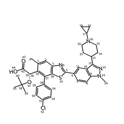 Cc1cc2nc(-c3ccc4c(c3)c(C3CCN(C5CC5)CC3)nn4C)sc2c(-c2ccc(Cl)cc2)c1[C@H](OC(C)(C)C)C(=O)O